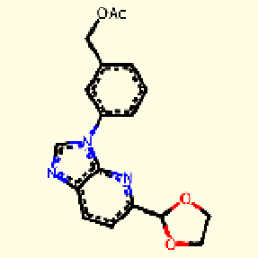 CC(=O)OCc1cccc(-n2cnc3ccc(C4OCCO4)nc32)c1